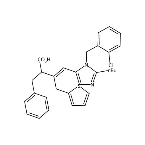 CCCCc1ncc(/C=C(\Cc2cccs2)C(Cc2ccccc2)C(=O)O)n1Cc1ccccc1Cl